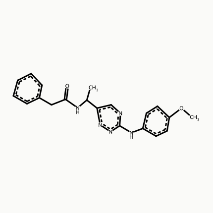 COc1ccc(Nc2ncc(C(C)NC(=O)Cc3ccccc3)nn2)cc1